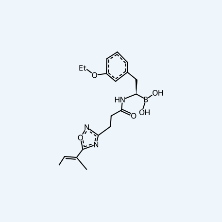 C/C=C(\C)c1nc(CCC(=O)N[C@@H](Cc2cccc(OCC)c2)B(O)O)no1